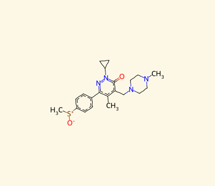 Cc1c(-c2ccc([S+](C)[O-])cc2)nn(C2CC2)c(=O)c1CN1CCN(C)CC1